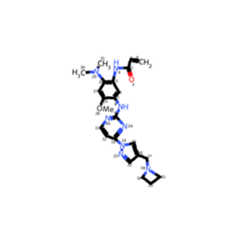 C=CC(=O)Nc1cc(Nc2nccc(-n3cc(CN4CCC4)cn3)n2)c(OC)cc1N(C)C